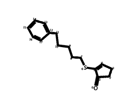 O=C1CCC=C1SCCCCCc1ccccc1